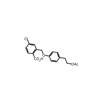 CC(=O)OCCc1ccc(OCc2cc(Cl)ccc2C(=O)O)cc1